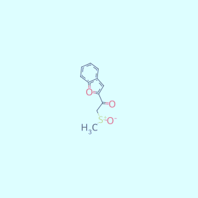 C[S+]([O-])CC(=O)c1cc2ccccc2o1